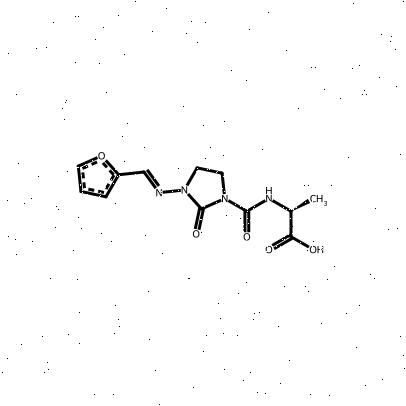 C[C@H](NC(=O)N1CCN(N=Cc2ccco2)C1=O)C(=O)O